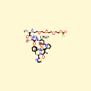 CC[C@H](C)[C@@H]([C@@H](CC(=O)N1CCC[C@H]1[C@H](OC)[C@@H](C)C(=O)N[C@@H](Cc1ccccc1)c1nccs1)OC)N(C)C(=O)[C@@H](NC(=O)[C@H](C(C)C)N(C)CCOCCOCCOCCOC(=O)Cl)C(C)C